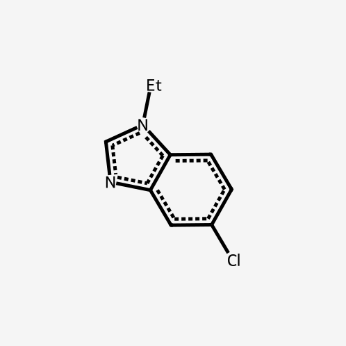 CCn1cnc2cc(Cl)ccc21